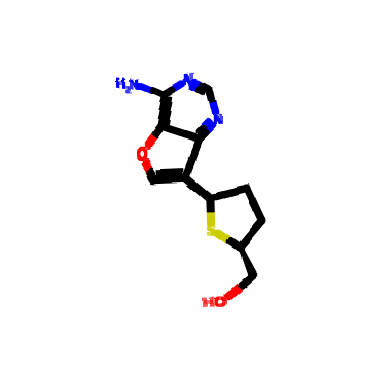 Nc1ncnc2c(C3CC[C@@H](CO)S3)coc12